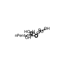 CCCCC[C@H](O)CC[C@@H]1[C@H]2Cc3cccc(OCC(=O)OCCO)c3C[C@H]2C[C@H]1O